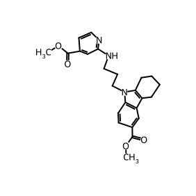 COC(=O)c1ccnc(NCCCn2c3c(c4cc(C(=O)OC)ccc42)CCCC3)c1